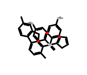 [CH2]=[Zr]([C]1=CC=CC1)([c]1ccc(CCCC)cc1)([c]1ccc(CCCC)cc1)[c]1c(C)ccc2c1Cc1cc(C)ccc1-2